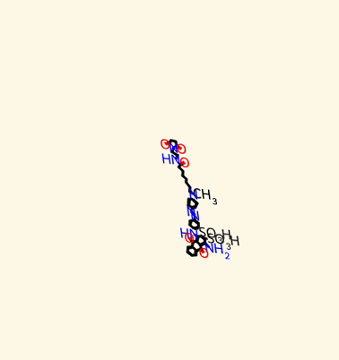 CN(CCCCCCCC(=O)NCCN1C(=O)CCC1=O)c1ccc(/N=N/c2ccc(Nc3cc(S(=O)(=O)O)c(N)c4c3C(=O)c3ccccc3C4=O)c(S(=O)(=O)O)c2)cc1